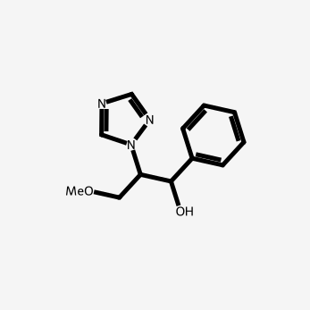 COCC(C(O)c1ccccc1)n1cncn1